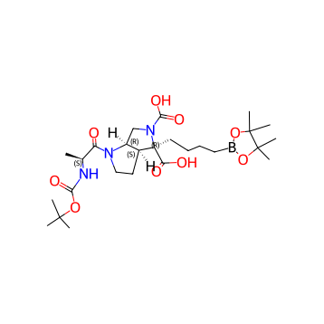 C[C@H](NC(=O)OC(C)(C)C)C(=O)N1CC[C@H]2[C@@H]1CN(C(=O)O)[C@@]2(CCCCB1OC(C)(C)C(C)(C)O1)C(=O)O